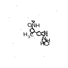 Cc1ccc(C(=O)NC2CC2)cc1-c1ccc2c(N3CC[C@H]4CCCC[C@@H]4C3)nncc2c1